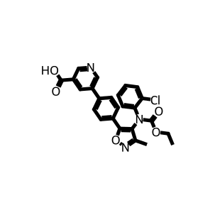 CCOC(=O)N(c1ccccc1Cl)c1c(C)noc1-c1ccc(-c2cncc(C(=O)O)c2)cc1